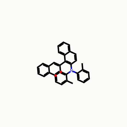 Cc1ccccc1N(c1ccccc1C)c1ccc2ccccc2c1-c1ccc2ccccc2c1